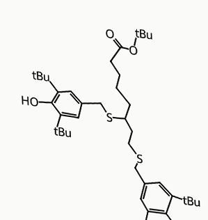 CC(C)(C)OC(=O)CCCCC(CCSCc1cc(C(C)(C)C)c(O)c(C(C)(C)C)c1)SCc1cc(C(C)(C)C)c(O)c(C(C)(C)C)c1